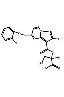 CCC(CO)(NC(=O)c1c(C)nn2ccc(OCc3ccccc3F)cc12)C(N)=O